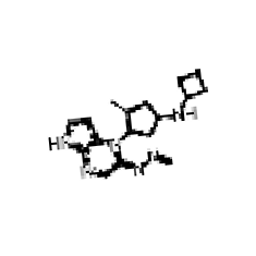 C=N/N=c1/cnc2[nH]ccc2n1C1C[C@H](NC2CCC2)C[C@@H]1C